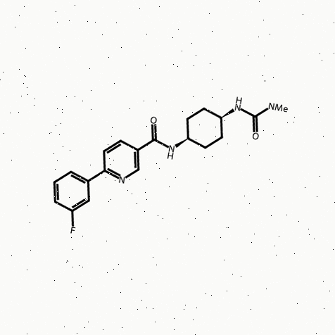 CNC(=O)N[C@H]1CC[C@@H](NC(=O)c2ccc(-c3cccc(F)c3)nc2)CC1